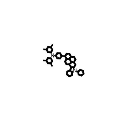 Cc1cc(C)cc(N(c2ccc(-c3ccc4ccc5cc6c(c7ccc3c4c57)c3ccccc3n6-c3ccccc3)cc2)c2cc(C)cc(C)c2)c1